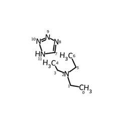 CCN(CC)CC.c1nnn[nH]1